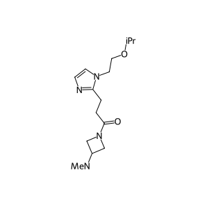 CNC1CN(C(=O)CCc2nccn2CCOC(C)C)C1